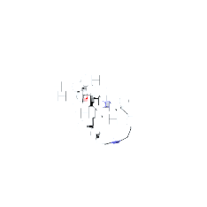 [2H]C([2H])([2H])N1CC(=O)OCC/C=C/CCCCC(=O)N/C1=N/C(=O)OC(C)(C)C